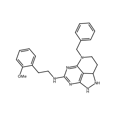 COc1ccccc1CCNc1nc2c3c(n1)N(Cc1ccccc1)CCC3NN2